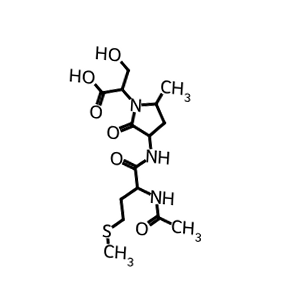 CSCCC(NC(C)=O)C(=O)NC1CC(C)N(C(CO)C(=O)O)C1=O